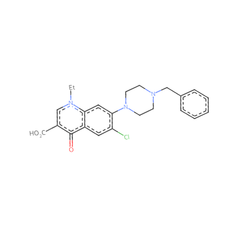 CCn1cc(C(=O)O)c(=O)c2cc(Cl)c(N3CCN(Cc4ccccc4)CC3)cc21